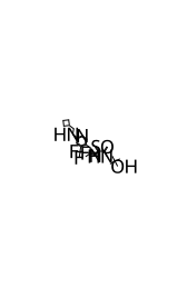 Cc1nc(C(=O)NCC(C)(C)O)sc1-c1cnc(NCC2CCC2)cc1C(F)(F)F